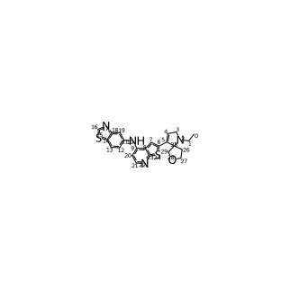 CCN1CC=C(c2cc3c(Nc4ccc5scnc5c4)ccnc3s2)C12CCOC2